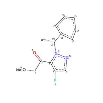 COCC(=O)c1c(F)cnn1[C@H](C)c1ccccc1